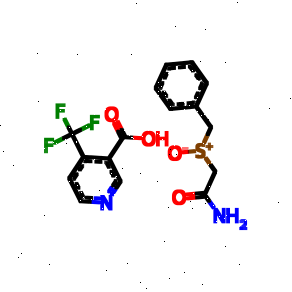 NC(=O)C[S+]([O-])Cc1ccccc1.O=C(O)c1cnccc1C(F)(F)F